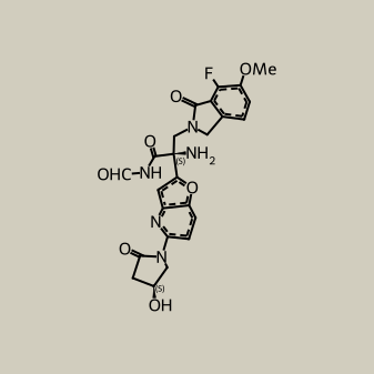 COc1ccc2c(c1F)C(=O)N(C[C@@](N)(C(=O)NC=O)c1cc3nc(N4C[C@@H](O)CC4=O)ccc3o1)C2